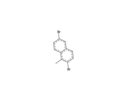 Cc1c(Br)ccc2cc(Br)ccc12